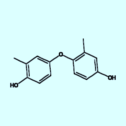 Cc1cc(Oc2ccc(O)cc2C)ccc1O